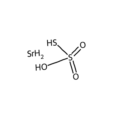 O=S(=O)(O)S.[SrH2]